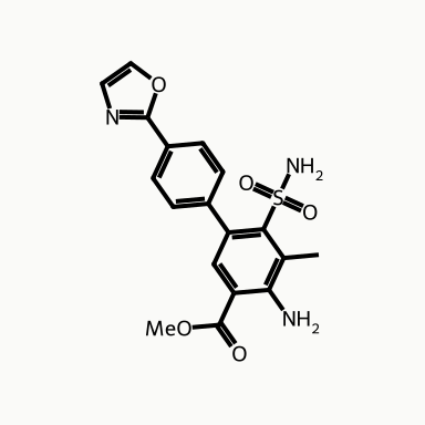 COC(=O)c1cc(-c2ccc(-c3ncco3)cc2)c(S(N)(=O)=O)c(C)c1N